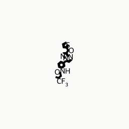 CC(CC(=O)Nc1cccc(-c2ccnc3c(C(=O)c4cccs4)cnn23)c1)C(F)(F)F